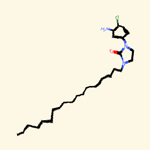 CCCCCCCCCCCCCCCCCCN1CCN(c2ccc(Cl)c(N)c2)C1=O